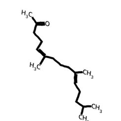 CC(=O)CCC=C(C)CCCC(C)=CCCC(C)C